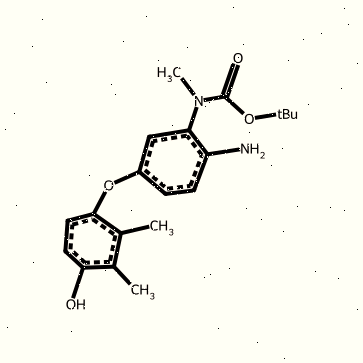 Cc1c(O)ccc(Oc2ccc(N)c(N(C)C(=O)OC(C)(C)C)c2)c1C